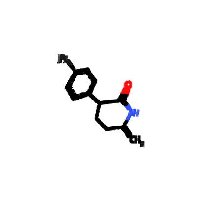 C=C1CCC(c2ccc(C(C)C)cc2)C(=O)N1